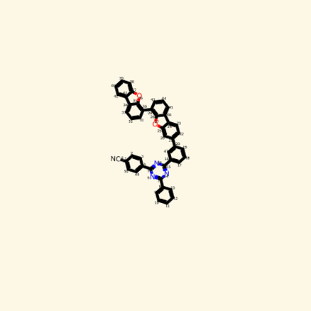 N#Cc1ccc(-c2nc(-c3ccccc3)nc(-c3cccc(-c4ccc5c(c4)oc4c(-c6cccc7c6oc6ccccc67)cccc45)c3)n2)cc1